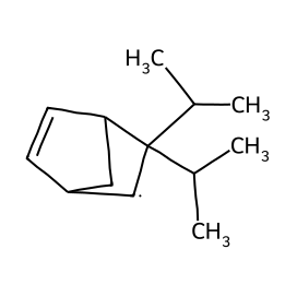 CC(C)C1(C(C)C)[CH]C2C=CC1C2